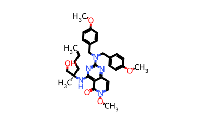 CCCC[C@](C)(CO)Nc1nc(N(Cc2ccc(OC)cc2)Cc2ccc(OC)cc2)nc2ccn(OC)c(=O)c12